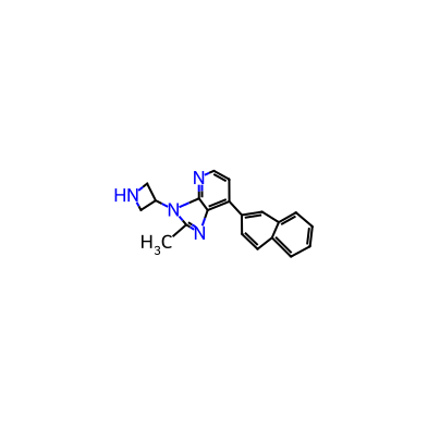 Cc1nc2c(-c3ccc4ccccc4c3)ccnc2n1C1CNC1